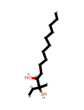 CCCCCCCCCCC(O)C(C)(S)CC